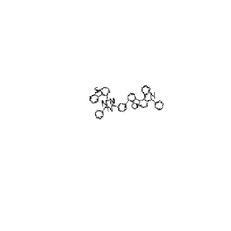 c1ccc(-c2nc(-c3cccc(-c4cccc5c4oc4ccc6c(-c7ccccc7)nc7ccccc7c6c45)c3)nc(-c3cccc4sc5ccccc5c34)n2)cc1